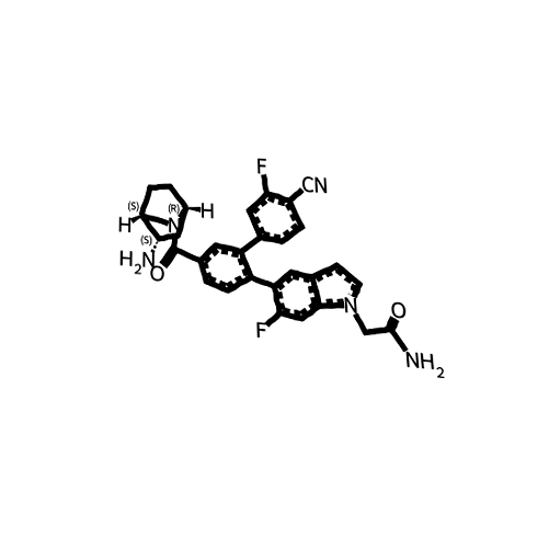 N#Cc1ccc(-c2cc(C(=O)N3[C@@H]4CC[C@H]3[C@@H](N)C4)ccc2-c2cc3ccn(CC(N)=O)c3cc2F)cc1F